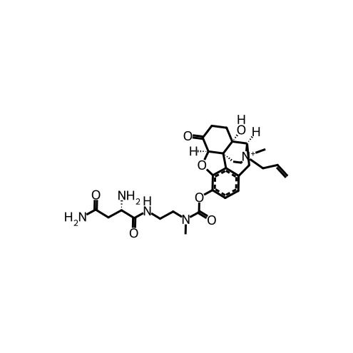 C=CC[N+]1(C)CC[C@]23c4c5ccc(OC(=O)N(C)CCNC(=O)[C@@H](N)CC(N)=O)c4O[C@H]2C(=O)CC[C@@]3(O)[C@H]1C5